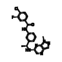 C[C@H](Nc1cnc2cnn(C)c2n1)c1cccc(NC(=O)c2ccc(Cl)c(F)c2)c1